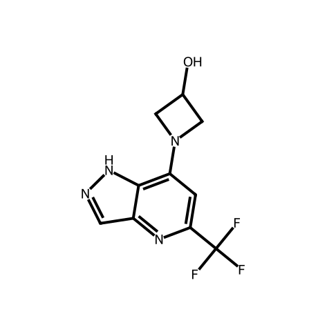 OC1CN(c2cc(C(F)(F)F)nc3cn[nH]c23)C1